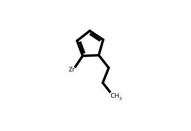 CCCC1C=CC=[C]1[Zr]